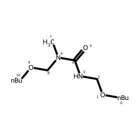 CCCCOCNC(=O)N(C)COCCCC